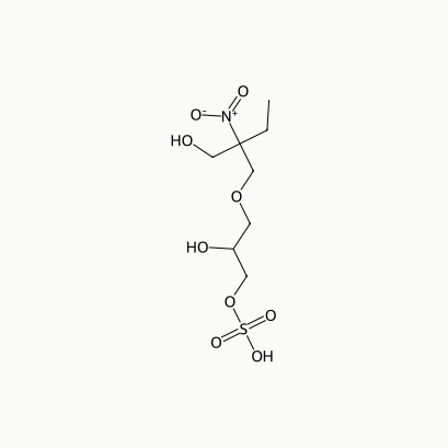 CCC(CO)(COCC(O)COS(=O)(=O)O)[N+](=O)[O-]